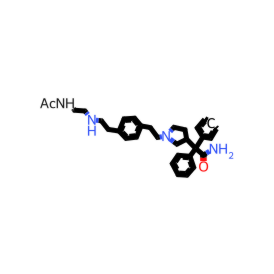 CC(=O)NCCNCCc1ccc(CCN2CCC(C(C(N)=O)(c3ccccc3)c3ccccc3)C2)cc1